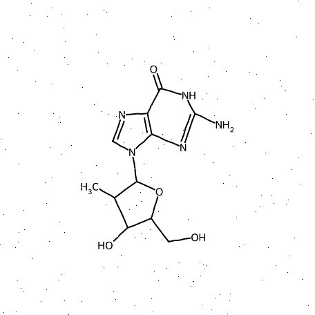 CC1C(O)C(CO)OC1n1cnc2c(=O)[nH]c(N)nc21